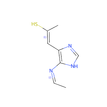 C/C=N\c1[nH]cnc1/C=C(\C)S